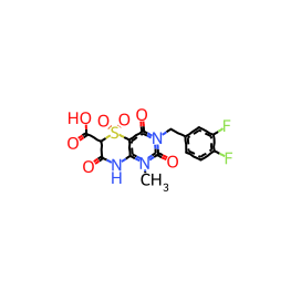 Cn1c2c(c(=O)n(Cc3ccc(F)c(F)c3)c1=O)S(=O)(=O)C(C(=O)O)C(=O)N2